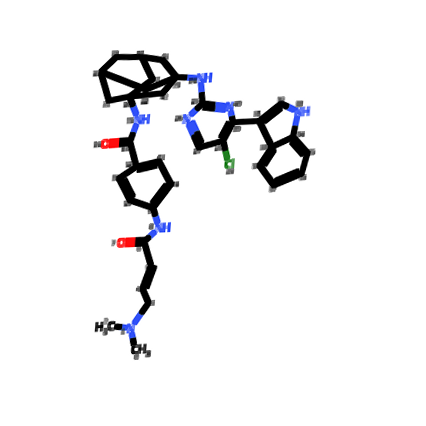 CN(C)C/C=C/C(=O)Nc1ccc(C(=O)NC23CC4CC(C2)CC(Nc2ncc(Cl)c(-c5c[nH]c6ccccc56)n2)(C4)C3)cc1